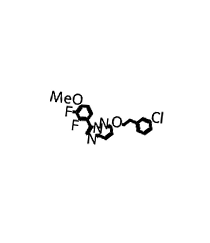 COc1ccc(-c2cnc3ccc(OCCc4cccc(Cl)c4)nn23)c(F)c1F